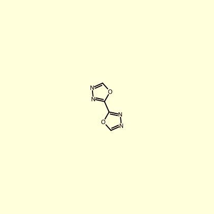 c1nnc(-c2nnco2)o1